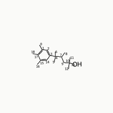 Cc1cc(C(C)(C)C(C)CC(C)(C)O)cc(C)c1C